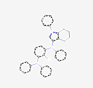 Clc1c(N(c2ccccc2)c2ccccc2)cccc1N(c1ccccc1)c1cn(-c2ccccc2)c2c1CCCC2